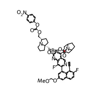 C#Cc1c(F)ccc2cc(OCOC)cc(-c3ncc4c(N5CC6CCC(C5)N6C(=O)OC(C)(C)C)nc(OC[C@]56CCCN5[C@@H](COC(=O)Oc5ccc([N+](=O)[O-])cc5)CC6)nc4c3F)c12